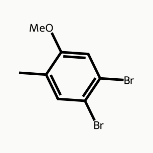 COc1cc(Br)c(Br)cc1C